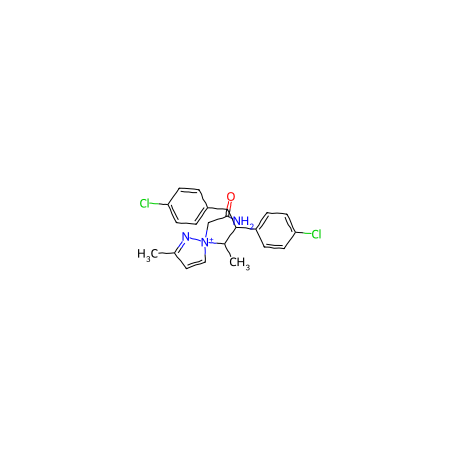 CC1=N[N+](CC(N)=O)(C(C)C(Cc2ccc(Cl)cc2)c2ccc(Cl)cc2)C=C1